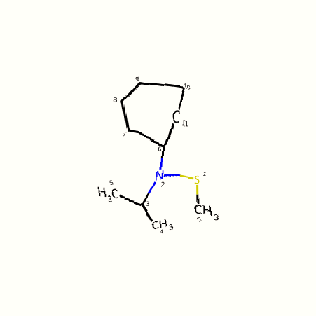 CSN(C(C)C)C1CCCCC1